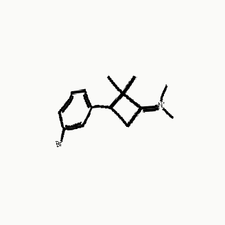 C[N+](C)=C1CC(c2cccc(Br)c2)C1(C)C